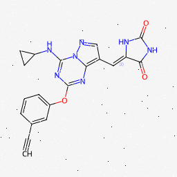 C#Cc1cccc(Oc2nc(NC3CC3)n3ncc(/C=C4\NC(=O)NC4=O)c3n2)c1